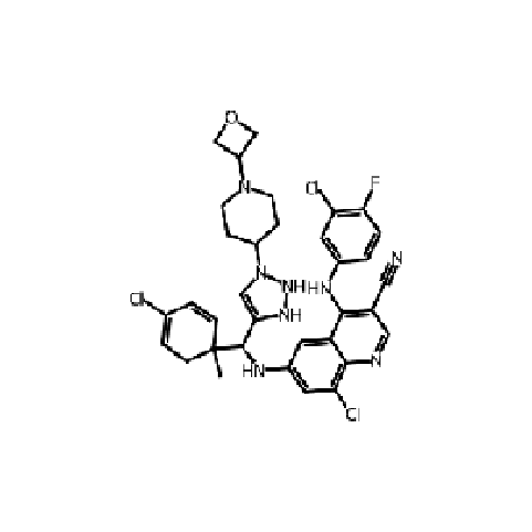 CC1([C@H](Nc2cc(Cl)c3ncc(C#N)c(Nc4ccc(F)c(Cl)c4)c3c2)C2=CN(C3CCN(C4COC4)CC3)NN2)C=CC(Cl)=CC1